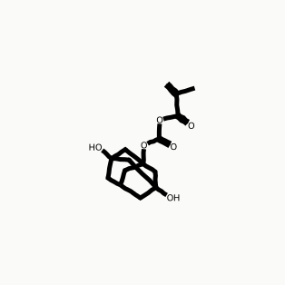 C=C(C)C(=O)OC(=O)OC12CC3CC(O)(CC(O)(C3)C1)C2